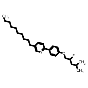 CCCCCCCCCCc1ccc(-c2ccc(OCC(F)CC(C)C)cc2)nc1